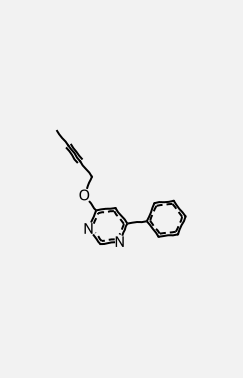 CC#CCOc1cc(-c2ccccc2)ncn1